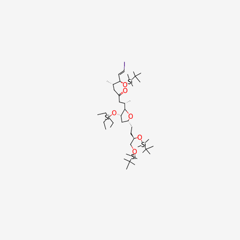 CC[Si](CC)(CC)O[C@H]1C[C@@H](CC[C@H](CO[Si](C)(C)C(C)(C)C)O[Si](C)(C)C(C)(C)C)OC1[C@@H](C)CC(=O)C[C@H](C)[C@@H](/C=C/I)O[Si](C)(C)C(C)(C)C